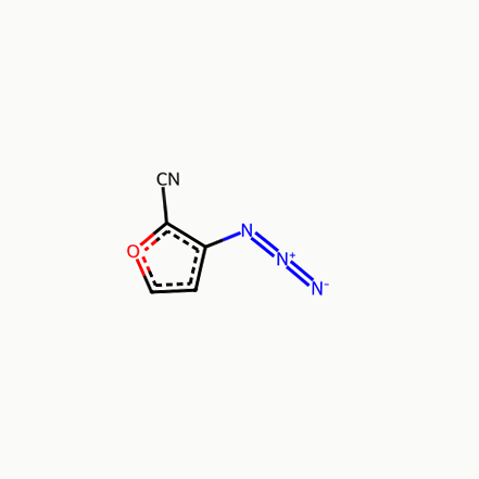 N#Cc1occc1N=[N+]=[N-]